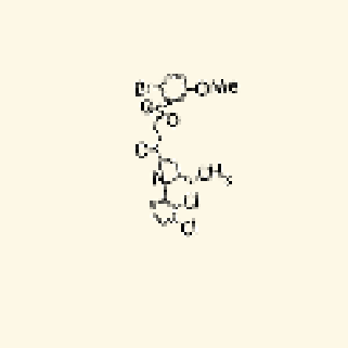 C/C=C1\C=C(C(=O)CCS(=O)(=O)c2cc(OC)ccc2Br)N=C1c1cccc(Cl)c1Cl